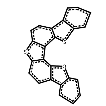 c1ccc2c(c1)oc1c2ccc2sc3ccc4c5ccccc5sc4c3c21